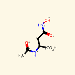 O=C(CC(NC(=O)C(F)(F)F)C(=O)O)NO